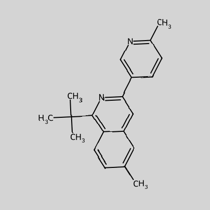 Cc1ccc2c(C(C)(C)C)nc(-c3ccc(C)nc3)cc2c1